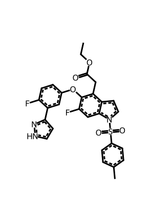 CCOC(=O)Cc1c(Oc2ccc(F)c(-c3cc[nH]n3)c2)c(F)cc2c1ccn2S(=O)(=O)c1ccc(C)cc1